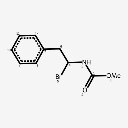 COC(=O)NC(Br)Cc1ccccc1